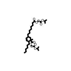 CCCCCCC1C=CC(CCCCCCCC(=O)OOC(=O)OC(C)C)CC1(C)C(=O)OOC(=O)OC(C)C